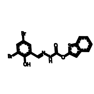 O=C(NN=Cc1cc(Br)cc(Br)c1O)Oc1cc2ccccc2s1